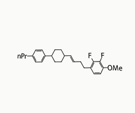 CCCc1ccc(C2CCC(/C=C/CCc3ccc(OC)c(F)c3F)CC2)cc1